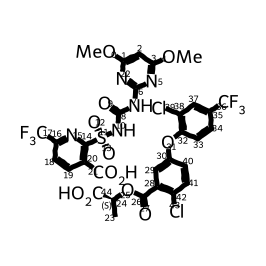 COc1cc(OC)nc(NC(=O)NS(=O)(=O)c2nc(C(F)(F)F)ccc2C(=O)O)n1.C[C@H](OC(=O)c1cc(Oc2ccc(C(F)(F)F)cc2Cl)ccc1Cl)C(=O)O